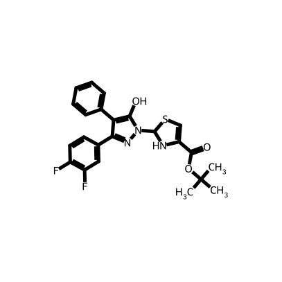 CC(C)(C)OC(=O)C1=CSC(n2nc(-c3ccc(F)c(F)c3)c(-c3ccccc3)c2O)N1